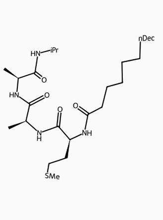 CCCCCCCCCCCCCCCC(=O)N[C@@H](CCSC)C(=O)N[C@@H](C)C(=O)N[C@@H](C)C(=O)NC(C)C